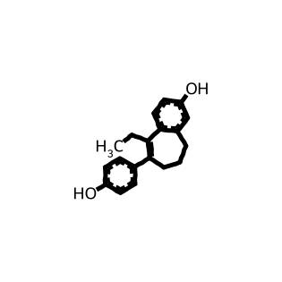 CCC1=C(c2ccc(O)cc2)CCCc2cc(O)ccc21